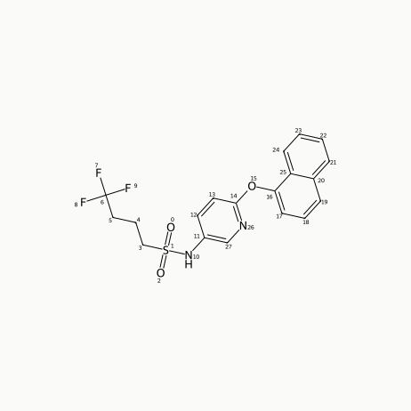 O=S(=O)(CCCC(F)(F)F)Nc1ccc(Oc2cccc3ccccc23)nc1